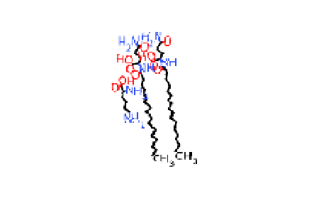 CCCCCCCCCCCCCCCCCC(=O)NC(CCC(N)=O)C(=O)O.CCCCCCCCCCCCCCCCCC(=O)NC(CCC(N)=O)C(=O)O.NCCCCC(N)C(=O)O